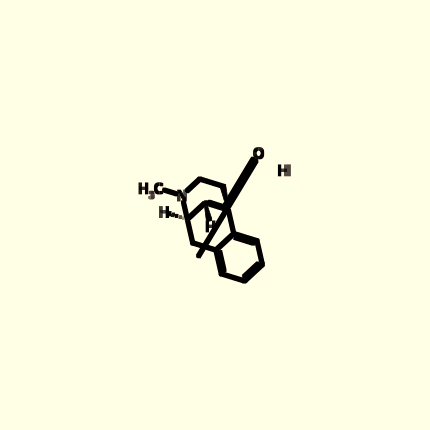 CN1CC[C@]23CC(=O)CC[C@H]2[C@H]1Cc1ccccc13.I